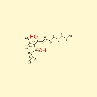 CCCCCCCCC(O)C(C(C)C)C(O)CC(C)C